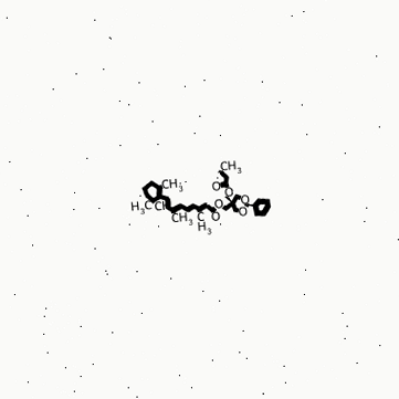 CCCC(=O)OC[C@]1(COC(=O)/C=C(\C)C=CC=C(C)C=CC2=C(C)CCCC2(C)C)CO[C@H](c2ccccc2)OC1